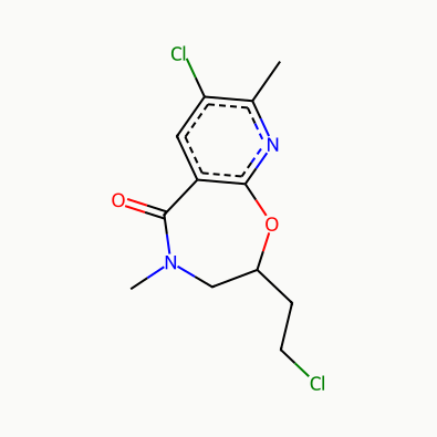 Cc1nc2c(cc1Cl)C(=O)N(C)CC(CCCl)O2